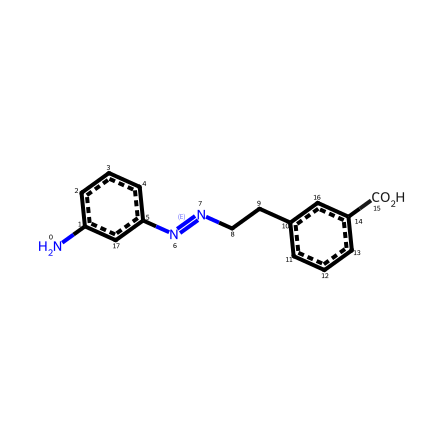 Nc1cccc(/N=N/CCc2cccc(C(=O)O)c2)c1